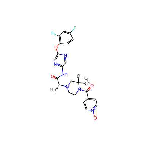 C[C@H](C(=O)Nc1cnc(Oc2ccc(F)cc2F)cn1)N1CCN(C(=O)c2cc[n+]([O-])cc2)C(C)(C)C1